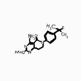 COc1nc(N)c2c(n1)CCN(c1ccc(C(C)(C)F)cc1)C2=O